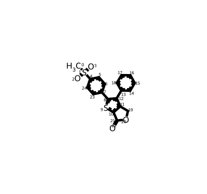 CS(=O)(=O)c1ccc(-c2sc3c(c2-c2ccccc2)COC3=O)cc1